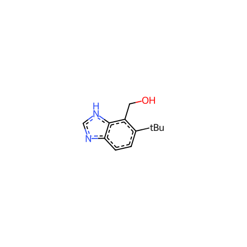 CC(C)(C)c1ccc2nc[nH]c2c1CO